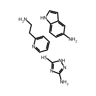 NCCc1ccccn1.Nc1ccc2[nH]ccc2c1.Nc1n[nH]c(S)n1